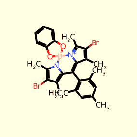 CC1=C(Br)C(C)=[N+]2C1=C(c1c(C)cc(C)cc1C)c1c(C)c(Br)c(C)n1[B-]21Oc2ccccc2O1